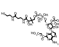 CC(C)(COP(=O)(O)OP(=O)(O)OC[C@H]1O[C@@H](n2cnc3c(N)nc([14C](=O)CC(=O)O)nc32)[C@H](O)[C@@H]1OP(=O)(O)O)[C@@H](O)C(=O)NCCC(=O)NCCS